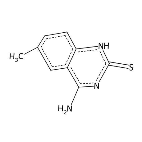 Cc1ccc2[nH]c(=S)nc(N)c2c1